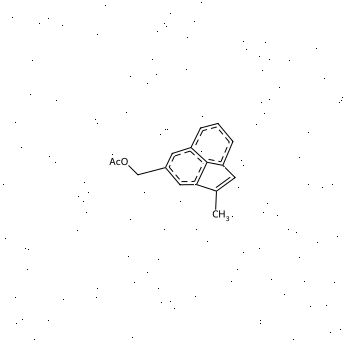 CC(=O)OCc1cc2c3c(cccc3c1)C=C2C